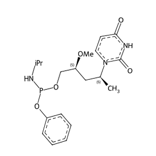 CO[C@H](COP(NC(C)C)Oc1ccccc1)C[C@H](C)n1ccc(=O)[nH]c1=O